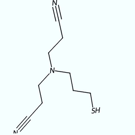 N#CCCN(CCC#N)CCCS